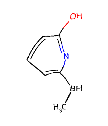 CBc1cccc(O)n1